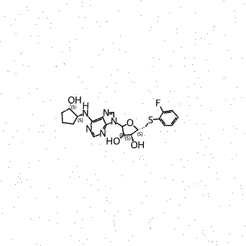 O[C@@H]1[C@@H](CSc2ccccc2F)OC(n2cnc3c(N[C@H]4CCC[C@@H]4O)ncnc32)[C@@H]1O